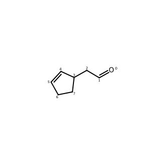 O=CCC1C=CCC1